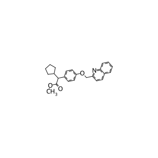 COC(=O)C(c1ccc(OCc2ccc3ccccc3n2)cc1)C1CCCC1